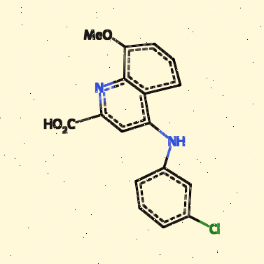 COc1cccc2c(Nc3cccc(Cl)c3)cc(C(=O)O)nc12